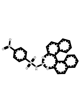 O=[N+]([O-])c1ccc(S(=O)(=O)Np2oc3ccc4ccccc4c3c3c(ccc4ccccc43)o2)cc1